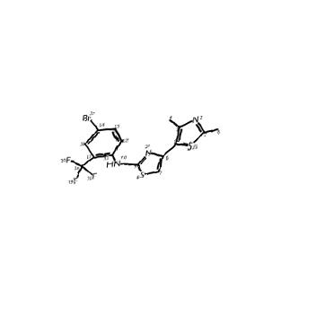 Cc1nc(C)c(-c2csc(Nc3ccc(Br)cc3C(F)(F)F)n2)s1